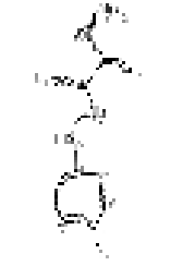 NNC(=O)C(=O)NNc1ccc(Cl)cc1